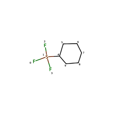 FS(F)(F)C1CCCCC1